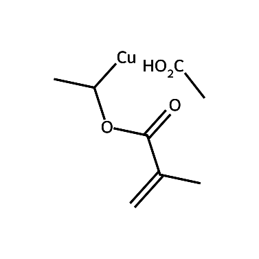 C=C(C)C(=O)O[CH](C)[Cu].CC(=O)O